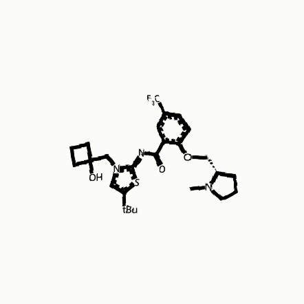 CN1CCC[C@H]1COc1ccc(C(F)(F)F)cc1C(=O)N=c1sc(C(C)(C)C)cn1CC1(O)CCC1